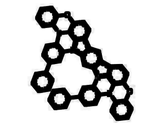 c1ccc(-c2ccc3c(c2)-n2c4cc5c(cc4c4ccc6c(c42)B3c2ccccc2O6)c2ccc3c4c2n5-c2cc(-c5ccccc5)ccc2B4c2ccccc2O3)cc1